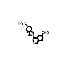 O=Cc1ccc2cnnc(N3CC4(CCN(C(=O)O)CC4)C3)c2c1